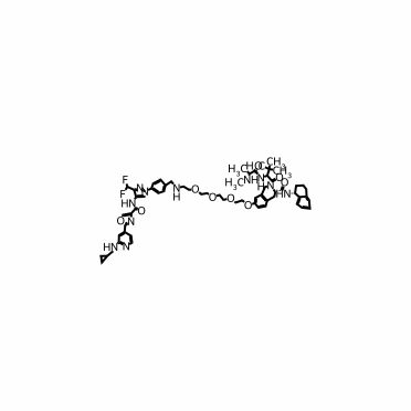 CNC(C)C(=O)NC(C(=O)N1Cc2cc(OCCOCCOCCOCCNCc3ccc(-n4cc(NC(=O)c5coc(-c6ccnc(NCC7CC7)c6)n5)c(C(F)F)n4)cc3)ccc2C[C@H]1C(=O)N[C@@H]1CCCc2ccccc21)C(C)(C)C